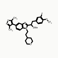 CSC(Cc1ccc(OC(F)(F)F)c(F)c1)c1nc2cc(-c3c(C)noc3C)ccc2n1CCC1CCOCC1